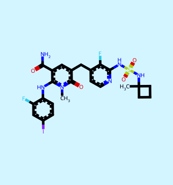 Cn1c(Nc2ccc(I)cc2F)c(C(N)=O)cc(Cc2ccnc(NS(=O)(=O)NC3(C)CCC3)c2F)c1=O